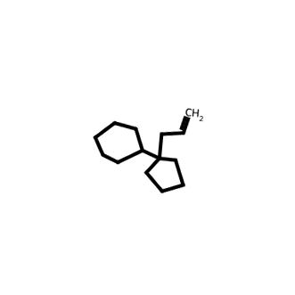 C=CCC1(C2CCCCC2)CCCC1